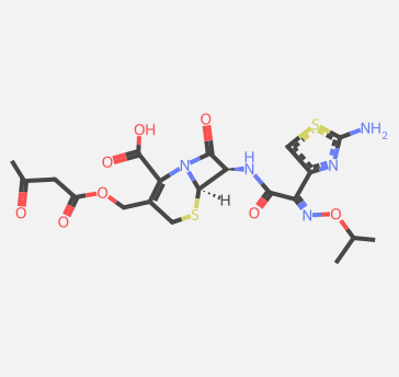 CC(=O)CC(=O)OCC1=C(C(=O)O)N2C(=O)[C@@H](NC(=O)/C(=N/OC(C)C)c3csc(N)n3)[C@H]2SC1